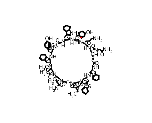 CCCC[C@H]1C(=O)N(C)CC(=O)N[C@@H](CC(N)=O)C(=O)N[C@@H](C(C)C)C(=O)N(C)[C@@H](Cc2ccccc2)C(=O)N[C@@H](Cc2ccc(O)cc2)C(=O)N(C)CC(=O)N[C@@H](Cc2c[nH]c3ccccc23)C(=O)N[C@@H](Cc2ccc(O)cc2)C(=O)N[C@@H](CCCN)C(=O)N[C@H](C(=O)NCC(N)=O)CSCC(=O)N[C@@H](Cc2ccccc2)C(=O)N[C@@H](Cc2nc3ccccc3s2)C(=O)N1C